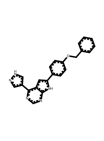 c1ccc(COc2ccc(-c3cc4c(-c5cn[nH]c5)ncnc4[nH]3)cc2)cc1